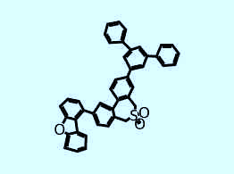 O=S1(=O)Cc2cc(-c3cc(-c4ccccc4)cc(-c4ccccc4)c3)ccc2-c2cc(-c3cccc4oc5ccccc5c34)ccc2C1